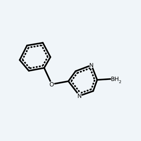 Bc1cnc(Oc2ccccc2)cn1